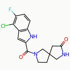 O=C1CC2(CCN(C(=O)c3cc4c(Cl)c(F)ccc4[nH]3)C2)CN1